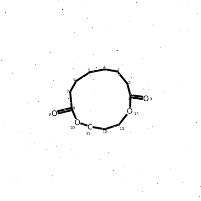 O=C1CCCCCCC(=O)OCCCO1